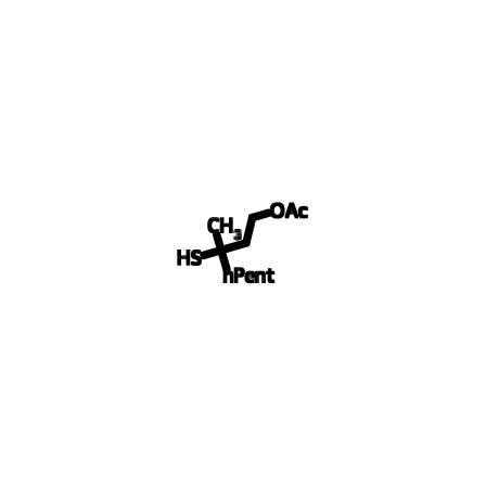 CCCCCC(C)(S)CCOC(C)=O